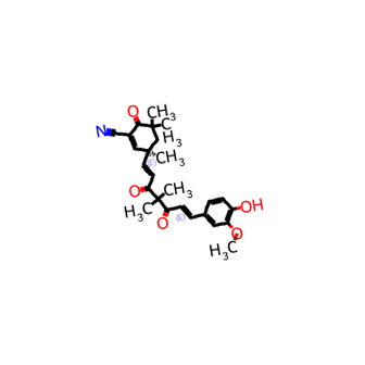 COc1cc(/C=C/C(=O)C(C)(C)C(=O)/C=C/[C@@]2(C)C=C(C#N)C(=O)C(C)(C)C2)ccc1O